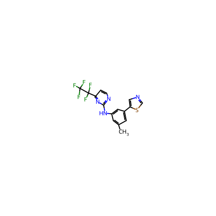 Cc1cc(Nc2nccc(C(F)(F)C(F)(F)F)n2)cc(-c2cncs2)c1